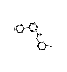 Clc1cccc(CNc2cncc(-c3ccncc3)c2)c1